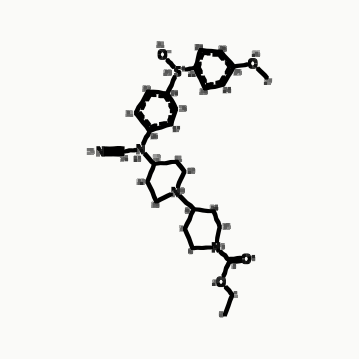 CCOC(=O)N1CCC(N2CCC(N(C#N)c3ccc([S+]([O-])c4ccc(OC)cc4)cc3)CC2)CC1